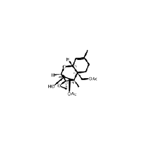 CC(=O)OC[C@]12CCC(C)=C[C@H]1O[C@@H]1C(O)C(OC(C)=O)[C@@]2(C)[C@]12CO2